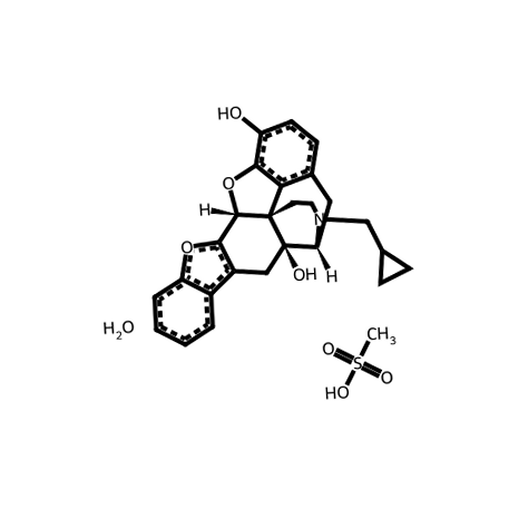 CS(=O)(=O)O.O.Oc1ccc2c3c1O[C@H]1c4oc5ccccc5c4C[C@@]4(O)[C@@H](C2)N(CC2CC2)CC[C@]314